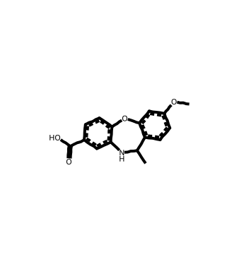 COc1ccc2c(c1)Oc1ccc(C(=O)O)cc1NC2C